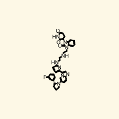 O=C1CCC(n2c(=O)n(CCNCCNc3cccc(-c4cnc5ccc(N6CCC[C@@H]6c6cccc(F)c6)cn45)n3)c3ccccc32)C(=O)N1